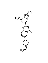 CCN1CCC(c2cn3c(=O)cc(-c4cc(C)c5nc(C)cn5c4)nc3cn2)CC1